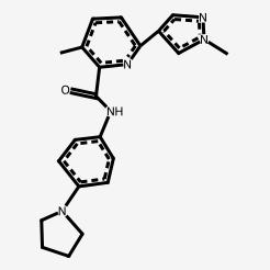 Cc1ccc(-c2cnn(C)c2)nc1C(=O)Nc1ccc(N2CCCC2)cc1